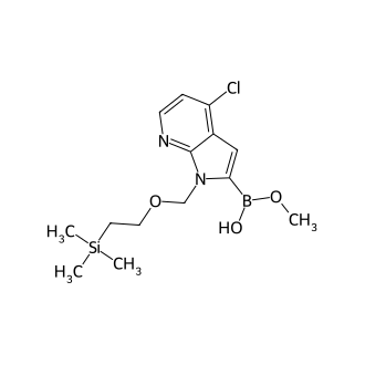 COB(O)c1cc2c(Cl)ccnc2n1COCC[Si](C)(C)C